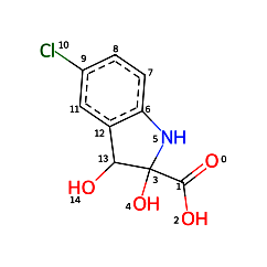 O=C(O)C1(O)Nc2ccc(Cl)cc2C1O